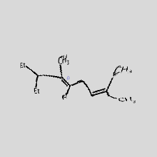 CCC(CC)/C(C)=C(\F)CC=C(C)C